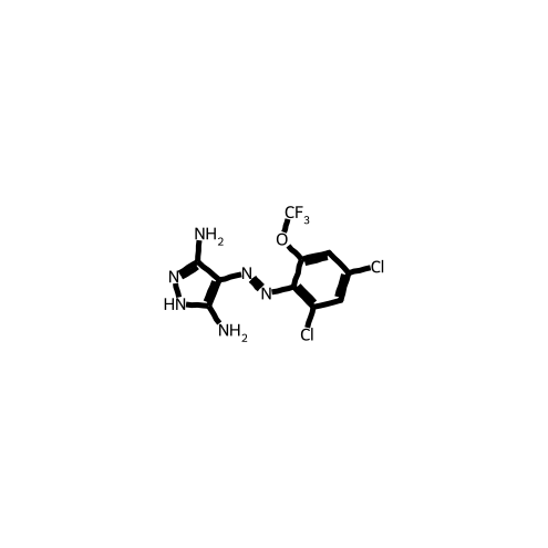 Nc1n[nH]c(N)c1N=Nc1c(Cl)cc(Cl)cc1OC(F)(F)F